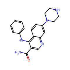 NC(=O)c1cnc2cc(N3CCNCC3)ccc2c1Nc1ccccc1